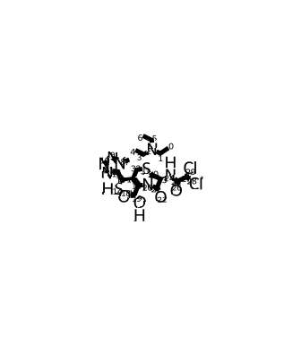 CCN(CC)CC.Cn1nnnc1C(S)C1=C(C(=O)O)N2C(=O)[C@@H](NC(=O)C(Cl)Cl)C2SC1